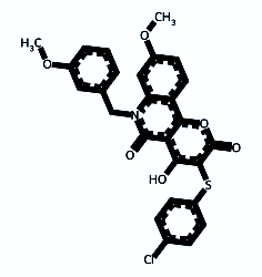 COc1cccc(Cn2c(=O)c3c(O)c(Sc4ccc(Cl)cc4)c(=O)oc3c3ccc(OC)cc32)c1